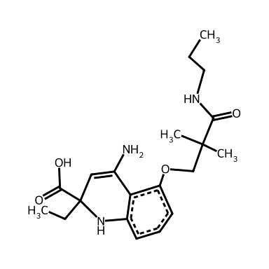 CCCNC(=O)C(C)(C)COc1cccc2c1C(N)=CC(CC)(C(=O)O)N2